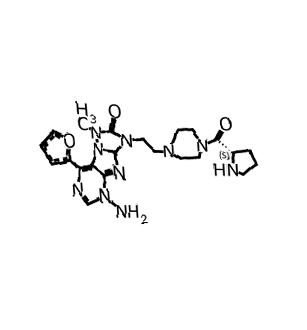 CN1C(=O)N(CCN2CCN(C(=O)[C@@H]3CCCN3)CC2)C2N=C3C(=C(c4ccco4)N=CN3N)N21